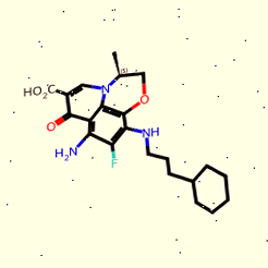 C[C@H]1COc2c(NCCCC3CCCCC3)c(F)c(N)c3c(=O)c(C(=O)O)cn1c23